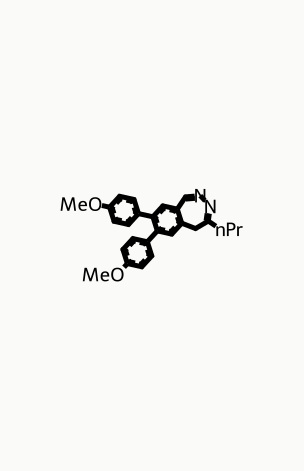 CCCC1=NN=Cc2cc(-c3ccc(OC)cc3)c(-c3ccc(OC)cc3)cc2C1